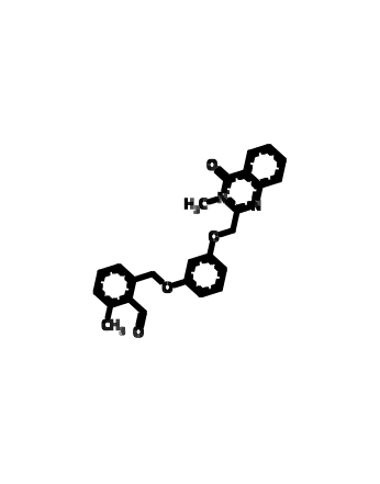 Cc1cccc(COc2cccc(OCc3nc4ccccc4c(=O)n3C)c2)c1C=O